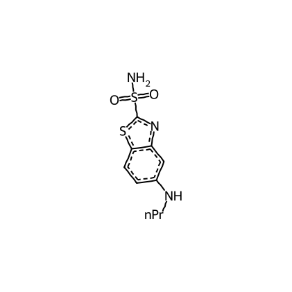 CCCNc1ccc2sc(S(N)(=O)=O)nc2c1